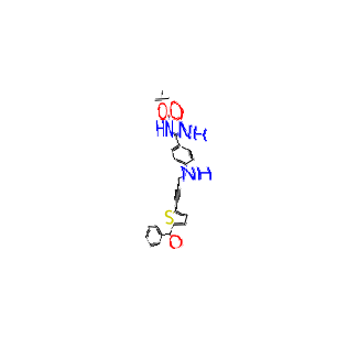 CC(C)(C)OC(=O)NC(=N)c1ccc(NCC#Cc2ccc(C(=O)c3ccccc3)s2)cc1